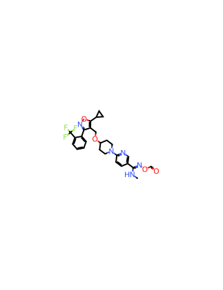 CN/C(=N\OC=O)c1ccc(N2CCC(OCc3c(-c4ccccc4C(F)(F)F)noc3C3CC3)CC2)nc1